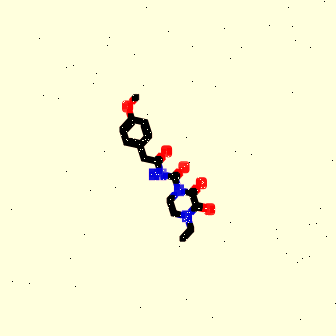 CCN1CCN(C(=O)NC(=O)Cc2ccc(OC)cc2)C(=O)C1=O